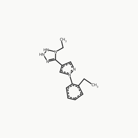 CCc1ccccc1-n1cc(C2=NNNN2CC)cn1